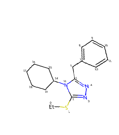 CCSc1nnc(Cc2ccccc2)n1C1CCCCC1